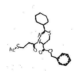 CC(=O)SCCC(=O)N1N=C(C2CCCCC2)SCC1C(=O)OCc1ccccc1